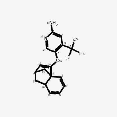 Nc1cc(C(F)(F)F)c(OC2=CC3CC4C=CC=CC24C3)cn1